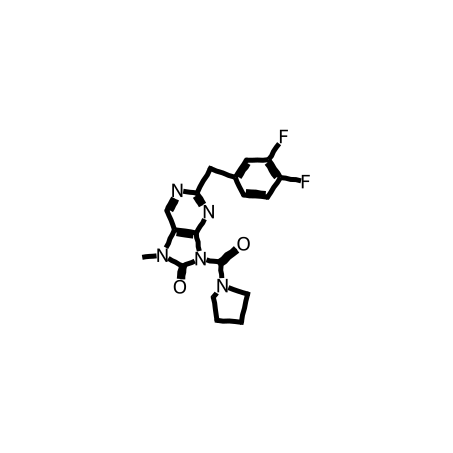 Cn1c(=O)n(C(=O)N2CCCC2)c2nc(Cc3ccc(F)c(F)c3)ncc21